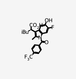 CCC(C)[C@@H](C(=O)O)c1c(C)n(C(=O)c2ccc(C(F)(F)F)cc2)c2cc(F)c(O)cc12